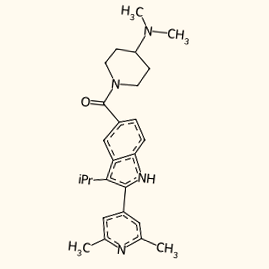 Cc1cc(-c2[nH]c3ccc(C(=O)N4CCC(N(C)C)CC4)cc3c2C(C)C)cc(C)n1